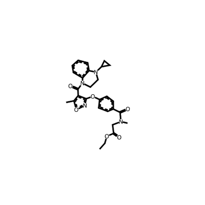 CCOC(=O)CN(C)C(=O)c1ccc(Oc2noc(C)c2C(=O)N2CCN(C3CC3)c3ccccc32)cc1